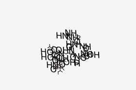 CCC(C)C(C)(CC)[C@@H]1OC(CO)C(O)[C@@H](O[C@@H]2OC(C(=O)NCCCCC3NC(=O)C(CCCNC(=N)N)NC(=O)CNC(=O)C(CC(=O)O)NC(=O)C(Cc4ccccc4)NC3=O)[C@@H](OC(C)(CC)C(C)C)C(O)C2O)C1NC(C)=O